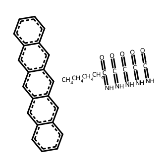 C.C.C.C.N=C=O.N=C=O.N=C=O.N=C=O.N=C=O.c1ccc2cc3cc4cc5ccccc5cc4cc3cc2c1